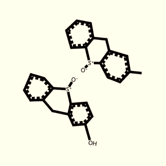 Cc1ccc2c(c1)Cc1ccccc1[S+]2[O-].[O-][S+]1c2ccccc2Cc2cc(O)ccc21